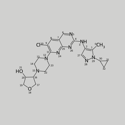 Cc1c(Nc2ncc3cc(Cl)c(N4CCN(C5COCC5O)CC4)nc3n2)cnn1C1CC1